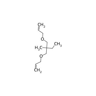 C=CCOCC(C)(CC)COCC=C